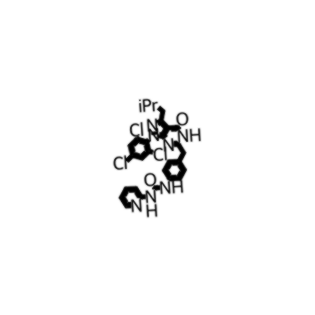 CC(C)Cc1nn(-c2c(Cl)cc(Cl)cc2Cl)c2nc(Cc3ccc(NC(=O)Nc4ccccn4)cc3)[nH]c(=O)c12